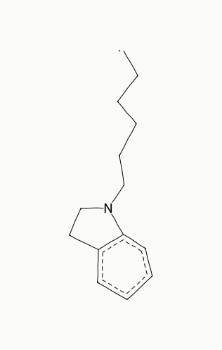 [CH2]CCCCCN1CCc2ccccc21